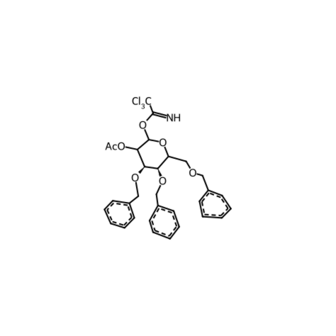 CC(=O)OC1C(OC(=N)C(Cl)(Cl)Cl)OC(COCc2ccccc2)[C@@H](OCc2ccccc2)[C@H]1OCc1ccccc1